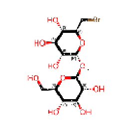 OC[C@H]1OC(O[C@H]2O[C@H](CBr)[C@@H](O)[C@H](O)[C@H]2O)[C@H](O)[C@@H](O)[C@@H]1O